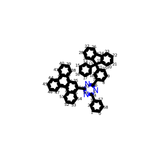 c1ccc(-c2nc(-c3cccc(C4(c5ccccc5)c5ccccc5-c5ccccc54)c3)nc(-c3cc4c5ccccc5c5ccccc5c4c4ccccc34)n2)cc1